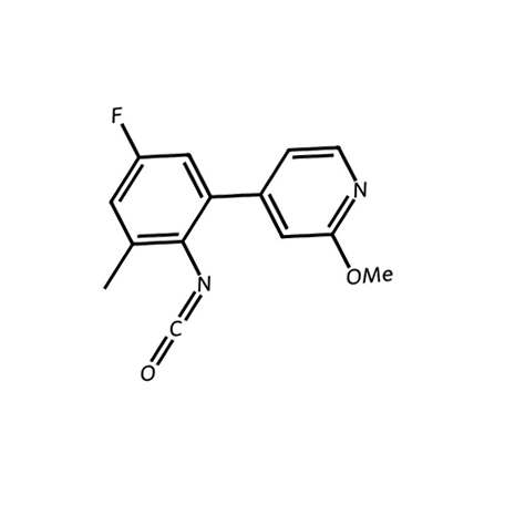 COc1cc(-c2cc(F)cc(C)c2N=C=O)ccn1